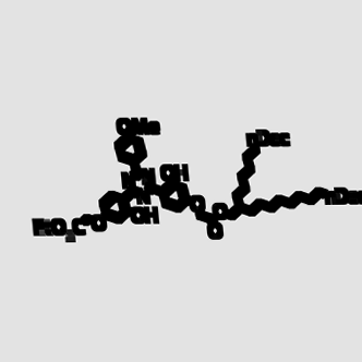 CCCCCCCCCCCCCCCCCCC(CCCCCCCCCCCCCCCC)COC(=O)COc1ccc(-c2nc(-c3ccc(OC)cc3)nc(-c3ccc(OCC(=O)OCC)cc3O)n2)c(O)c1